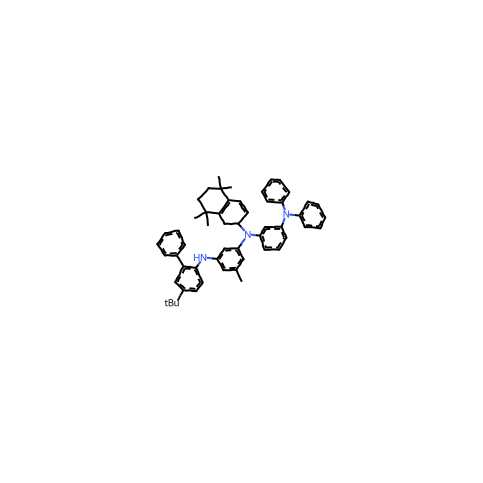 Cc1cc(Nc2ccc(C(C)(C)C)cc2-c2ccccc2)cc(N(c2cccc(N(c3ccccc3)c3ccccc3)c2)C2C=CC3=C(C2)C(C)(C)CCC3(C)C)c1